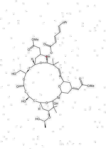 CCC/C=C/C=C/C(=O)O[C@H]1C(CC(=O)OC)C[C@H]2C[C@H]([C@@H](C)O)OC(=O)C[C@H](O)C[C@@H]3C[C@H](O[C@@H](C)O)C(C)(C)[C@](O)(C[C@@H]4C/C(=C/C(=O)OC)C[C@H](/C=C/C(C)(C)[C@]1(O)O2)O4)O3